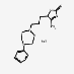 CC1=NC(=O)SC1CCCN1CCN(c2ccccc2)CC1.Cl